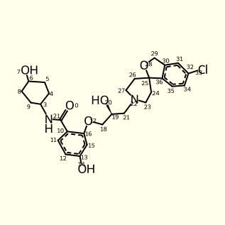 O=C(NC1CCC(O)CC1)c1ccc(O)cc1OC[C@@H](O)CN1CCC2(CC1)OCc1cc(Cl)ccc12